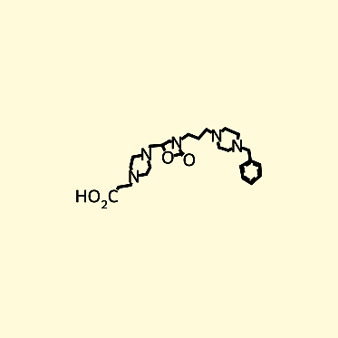 O=C(O)CCN1CCN(CC2CN(CCCN3CCN(Cc4ccccc4)CC3)C(=O)O2)CC1